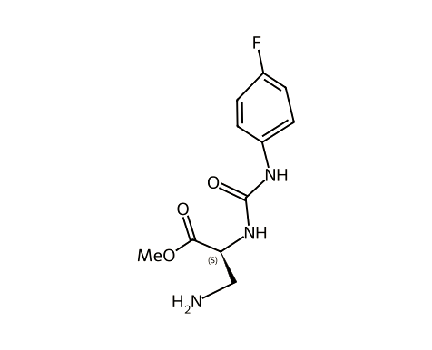 COC(=O)[C@H](CN)NC(=O)Nc1ccc(F)cc1